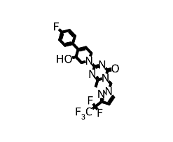 Cc1nc(N2CC=C(c3ccc(F)cc3)C(O)C2)nc(=O)n1Cn1ccc(C(F)(F)C(F)(F)F)n1